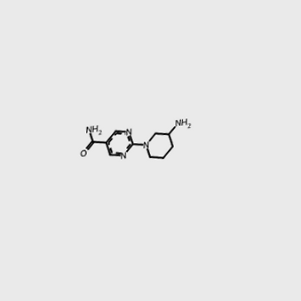 NC(=O)c1cnc(N2CCCC(N)C2)nc1